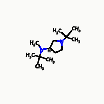 CN([C@@H]1CCN(C(C)(C)C)C1)C(C)(C)C